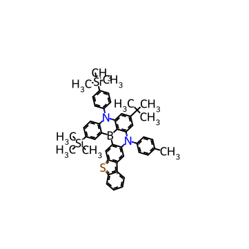 Cc1ccc(N2c3cc4c(cc3B3c5cc([Si](C)(C)C)ccc5N(c5ccc([Si](C)(C)C)cc5)c5cc(C(C)(C)C)cc2c53)sc2ccccc24)cc1